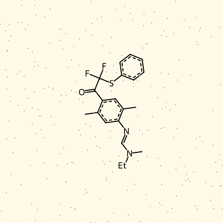 CCN(C)C=Nc1cc(C)c(C(=O)C(F)(F)Sc2ccccc2)cc1C